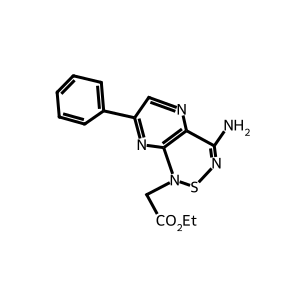 CCOC(=O)CN1SN=C(N)c2ncc(-c3ccccc3)nc21